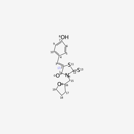 O=C1/C(=C/c2ccc(O)cc2)SC(=S)N1CC1CCCO1